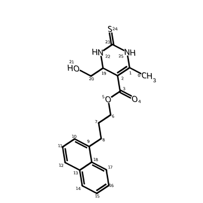 CC1=C(C(=O)OCCCc2cccc3ccccc23)C(CO)NC(=S)N1